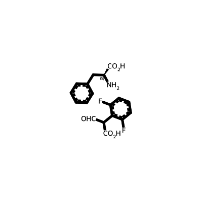 N[C@@H](Cc1ccccc1)C(=O)O.O=CC(C(=O)O)c1c(F)cccc1F